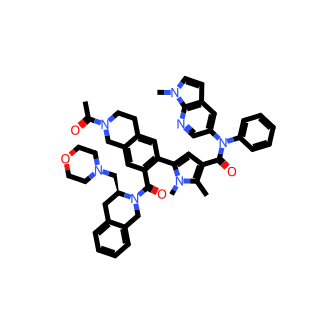 CC(=O)N1CCc2cc(-c3cc(C(=O)N(c4ccccc4)c4cnc5c(ccn5C)c4)c(C)n3C)c(C(=O)N3Cc4ccccc4C[C@H]3CN3CCOCC3)cc2C1